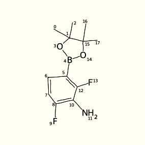 CC1(C)OB(c2ccc(F)c(N)c2F)OC1(C)C